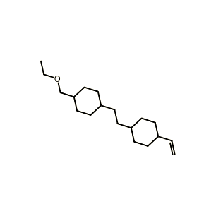 C=CC1CCC(CCC2CCC(COCC)CC2)CC1